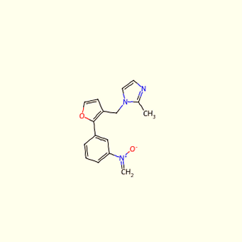 C=[N+]([O-])c1cccc(-c2occc2Cn2ccnc2C)c1